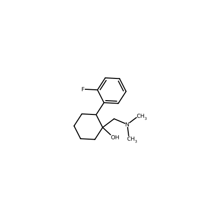 CN(C)CC1(O)CCCCC1c1ccccc1F